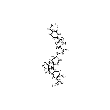 CCC1(C(N)=O)Nc2cc(C(=O)O)c(Cl)cc2N1c1ccc(CCN(C)C(=O)NS(=O)(=O)c2ccc(CN)cc2)cc1